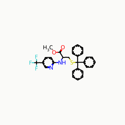 COC(=O)C(CSC(c1ccccc1)(c1ccccc1)c1ccccc1)Nc1ccc(C(F)(F)F)cn1